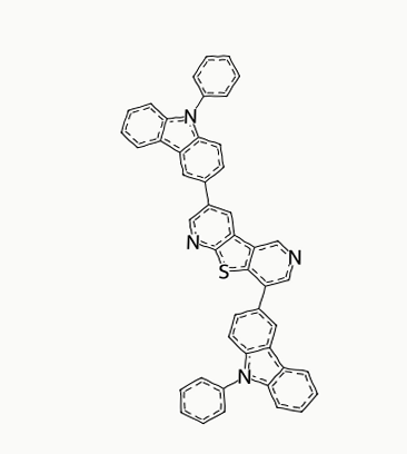 c1ccc(-n2c3ccccc3c3cc(-c4cnc5sc6c(-c7ccc8c(c7)c7ccccc7n8-c7ccccc7)cncc6c5c4)ccc32)cc1